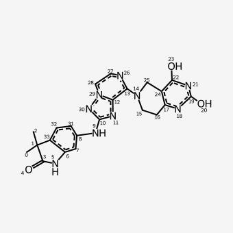 CC1(C)C(=O)Nc2cc(Nc3nc4c(N5CCc6nc(O)nc(O)c6C5)nccn4n3)ccc21